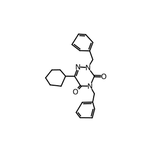 O=c1c(C2CCCCC2)nn(Cc2ccccc2)c(=O)n1Cc1ccccc1